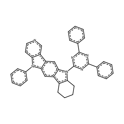 c1ccc(-c2nc(-c3ccccc3)nc(-n3c4c(c5cc6c(cc53)c3cnccc3n6-c3ccccc3)CCCC4)n2)cc1